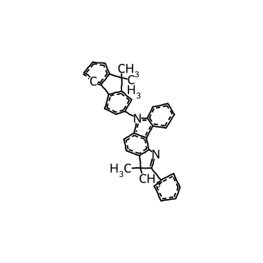 CC1(C)C(c2ccccc2)=Nc2c1ccc1c2c2ccccc2n1-c1ccc2c(c1)C(C)(C)c1ccccc1-2